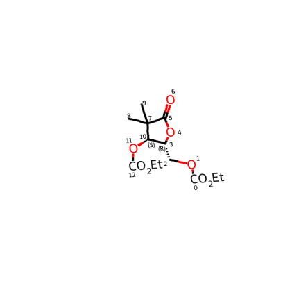 CCOC(=O)OC[C@H]1OC(=O)C(C)(C)[C@@H]1OC(=O)OCC